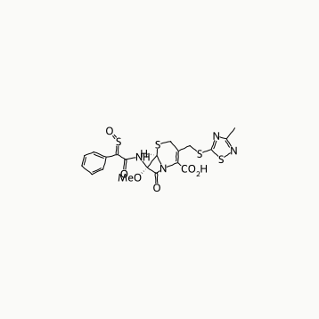 CO[C@@]1(NC(=O)C(=S=O)c2ccccc2)C(=O)N2C(C(=O)O)=C(CSc3nc(C)ns3)CS[C@@H]21